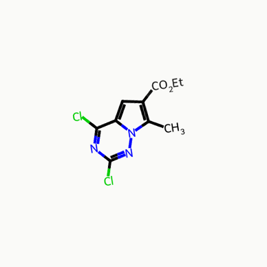 CCOC(=O)c1cc2c(Cl)nc(Cl)nn2c1C